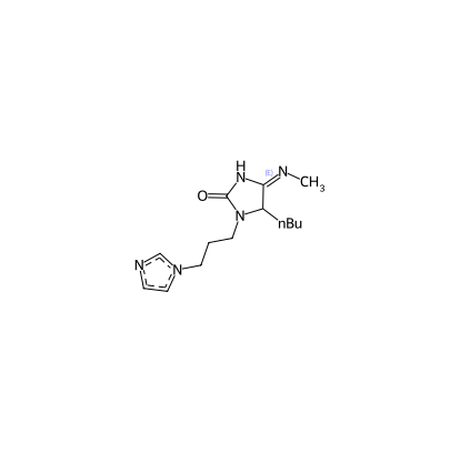 CCCCC1/C(=N\C)NC(=O)N1CCCn1ccnc1